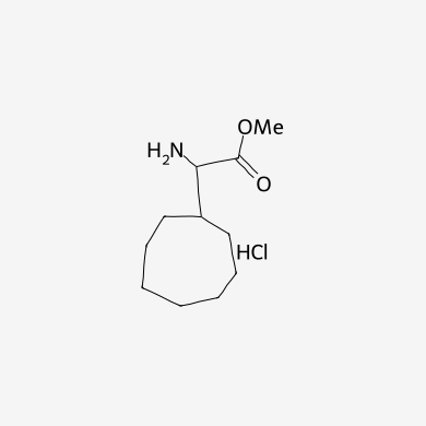 COC(=O)C(N)C1CCCCCCC1.Cl